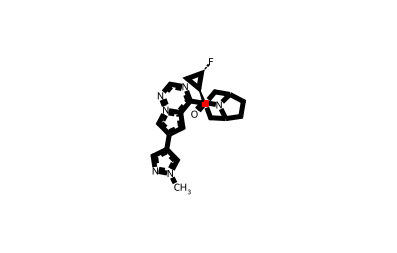 Cn1cc(-c2cc3c(N4CC5CCC(C4)N5C(=O)[C@H]4C[C@@H]4F)ncnn3c2)cn1